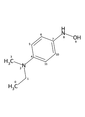 CCN(C)c1ccc(NO)cc1